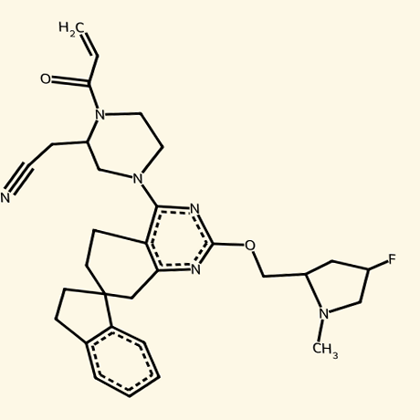 C=CC(=O)N1CCN(c2nc(OCC3CC(F)CN3C)nc3c2CCC2(CCc4ccccc42)C3)CC1CC#N